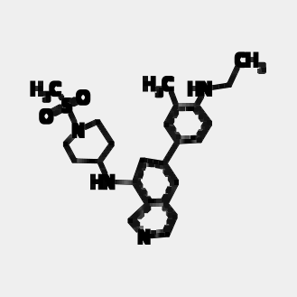 CCNc1ccc(-c2cc(NC3CCN(S(C)(=O)=O)CC3)c3cnccc3c2)cc1C